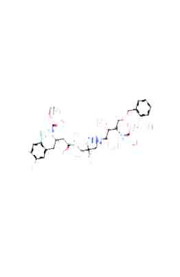 CC(C)(CNC(=O)CC(Cc1cc(F)ccc1F)NC(=O)OC(C)(C)C)CNC(=O)C(O)C(COCc1ccccc1)NC(=O)OC(C)(C)C